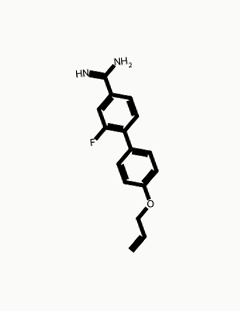 C=CCOc1ccc(-c2ccc(C(=N)N)cc2F)cc1